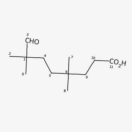 CC(C)(C=O)CCC(C)(C)CCC(=O)O